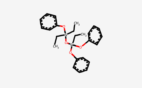 CC[Si](CC)(Oc1ccccc1)O[Si](CC)(Oc1ccccc1)Oc1ccccc1